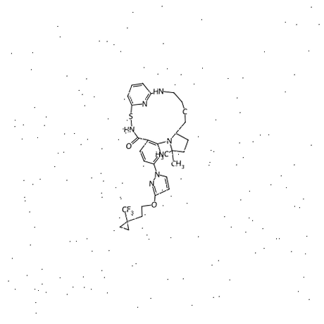 CC1(C)CCC2CCCCNc3cccc(n3)SNC(=O)c3ccc(-n4ccc(OCCC5(C(F)(F)F)CC5)n4)nc3N21